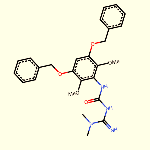 COc1c(OCc2ccccc2)cc(OCc2ccccc2)c(OC)c1NC(=O)NC(=N)N(C)C